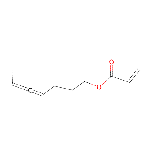 C=CC(=O)OCCCC=C=CC